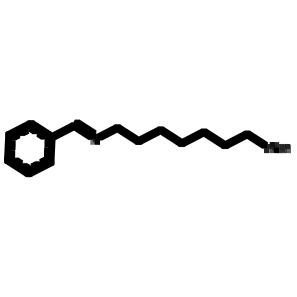 CCCCCCCCCCCCCCCC/N=C/c1ccccc1